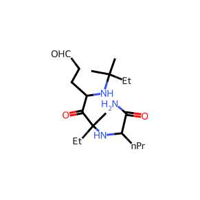 CCCC(NC(C)(CC)C(=O)C(CCC=O)NC(C)(C)CC)C(N)=O